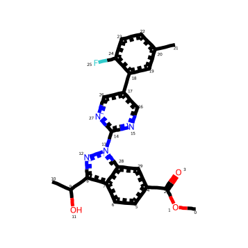 COC(=O)c1ccc2c(C(C)O)nn(-c3ncc(-c4cc(C)ccc4F)cn3)c2c1